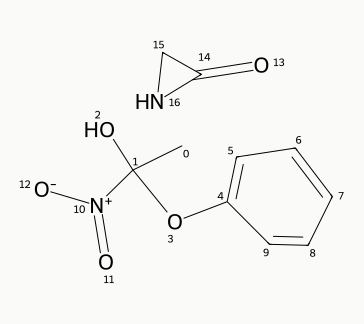 CC(O)(Oc1ccccc1)[N+](=O)[O-].O=C1CN1